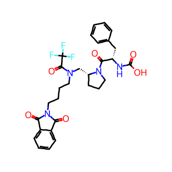 O=C(O)N[C@@H](Cc1ccccc1)C(=O)N1CCC[C@@H]1CN(CCCCN1C(=O)c2ccccc2C1=O)C(=O)C(F)(F)F